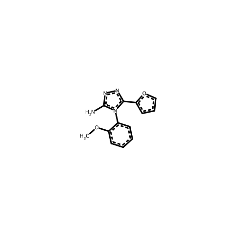 COc1ccccc1-n1c(N)nnc1-c1ccco1